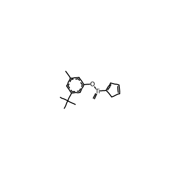 [CH2]=[Ti]([O]c1cc(C)cc(C(C)(C)C)c1)[C]1=CC=CC1